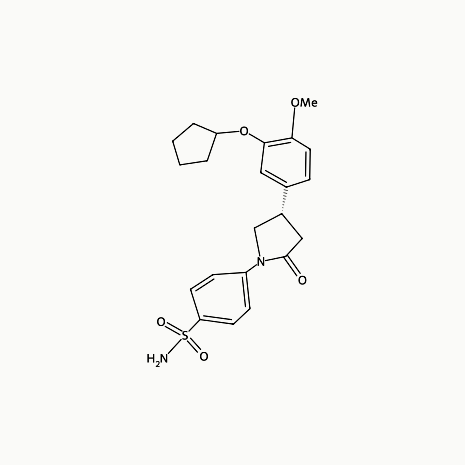 COc1ccc([C@@H]2CC(=O)N(c3ccc(S(N)(=O)=O)cc3)C2)cc1OC1CCCC1